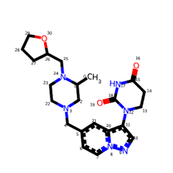 CC1CN(Cc2ccn3ncc(N4CCC(=O)NC4=O)c3c2)CCN1CC1CCCO1